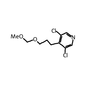 COCOCCCc1c(Cl)cncc1Cl